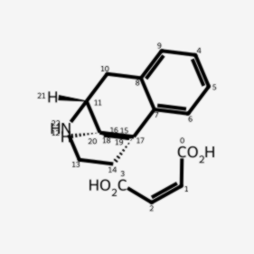 O=C(O)/C=C\C(=O)O.c1ccc2c(c1)C[C@H]1NCC[C@@]23CCCC[C@@H]13